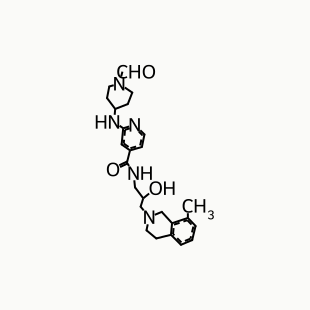 Cc1cccc2c1CN(CC(O)CNC(=O)c1ccnc(NC3CCN(C=O)CC3)c1)CC2